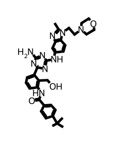 Cc1nc2cc(Nc3nc(N)nc(-c4cccc(NC(=O)c5ccc(C(C)(C)C)cc5)c4CO)n3)ccc2n1CCN1CCOCC1